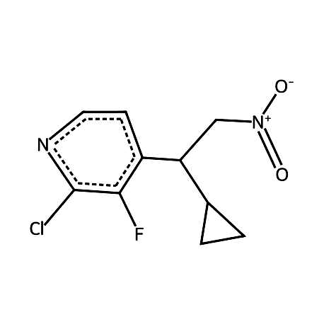 O=[N+]([O-])CC(c1ccnc(Cl)c1F)C1CC1